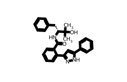 CC(C)(O)[C@@H](Cc1ccccc1)NC(=O)c1ccccc1-c1cc(-c2ccccc2)[nH]n1